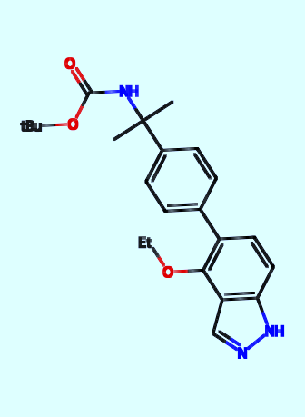 CCOc1c(-c2ccc(C(C)(C)NC(=O)OC(C)(C)C)cc2)ccc2[nH]ncc12